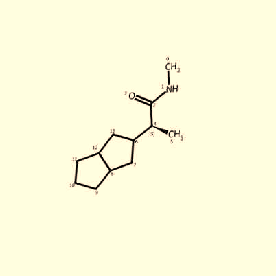 CNC(=O)[C@@H](C)C1CC2CCCC2C1